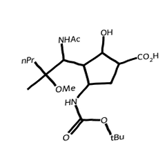 CCCC(C)(OC)C(NC(C)=O)C1C(NC(=O)OC(C)(C)C)CC(C(=O)O)C1O